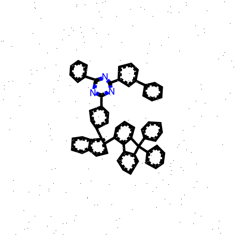 c1ccc(-c2cccc(-c3nc(-c4ccccc4)nc(-c4ccc(-c5c(-c6cccc7c6-c6ccccc6C7(c6ccccc6)c6ccccc6)ccc6ccccc56)cc4)n3)c2)cc1